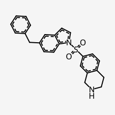 O=S(=O)(c1ccc2c(c1)CNCC2)n1ccc2cc(Cc3ccccc3)ccc21